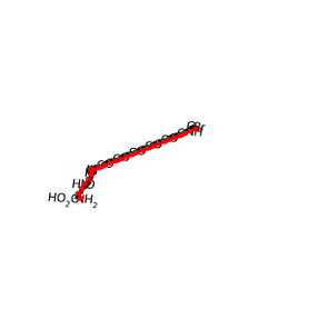 N[C@@H](CCCCNC(=O)CCc1cn(CCOCCOCCOCCOCCOCCOCCOCCOCCOCCOCCOCCNC(=O)CBr)nn1)C(=O)O